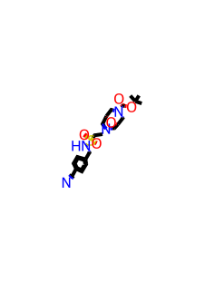 CC(C)(C)OC(=O)N1CC2CN(CCS(=O)(=O)NCc3ccc(C#N)cc3)CC(C1)O2